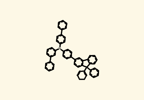 C1=CC(C2(c3ccccc3)c3ccccc3-c3cc(-c4ccc(N(c5ccc(-c6ccccc6)cc5)c5cccc(-c6ccccc6)c5)cc4)ccc32)=CCC1